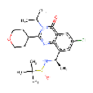 CC(C)n1c(C2CCOCC2)nc2c([C@@H](C)N[S@+]([O-])C(C)(C)C)cc(Cl)cc2c1=O